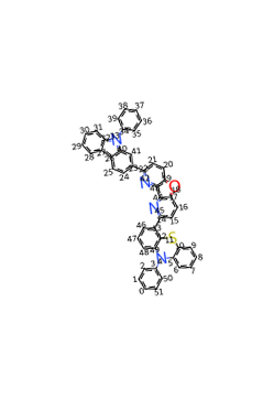 c1ccc(N2c3ccccc3Sc3c(-c4ccc5oc6ccc(-c7ccc8c9ccccc9n(-c9ccccc9)c8c7)nc6c5n4)cccc32)cc1